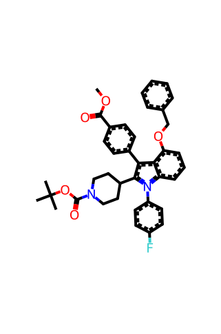 COC(=O)c1ccc(-c2c(C3CCN(C(=O)OC(C)(C)C)CC3)n(-c3ccc(F)cc3)c3cccc(OCc4ccccc4)c23)cc1